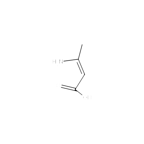 C/C(N)=C/C(=O)O